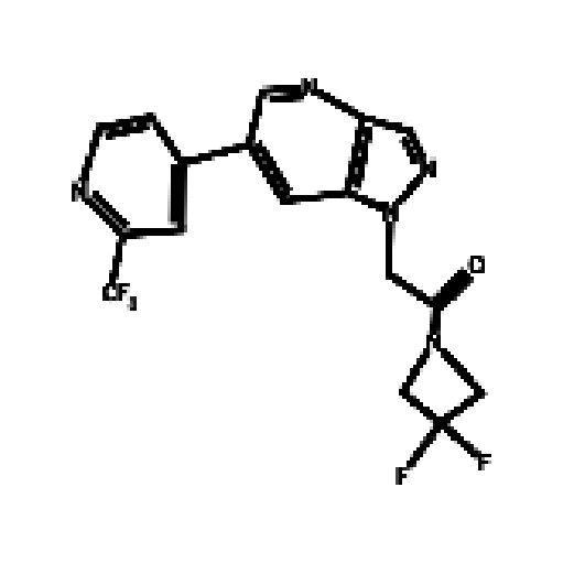 O=C(Cn1ncc2ncc(-c3ccnc(C(F)(F)F)c3)cc21)N1CC(F)(F)C1